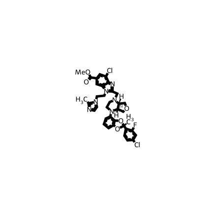 COC(=O)c1cc(Cl)c2nc(CN3CCN(c4cccc5c4O[C@](C)(c4ccc(Cl)cc4F)O5)[C@H]4COC[C@H]43)n(CCn3ccnc3C)c2c1